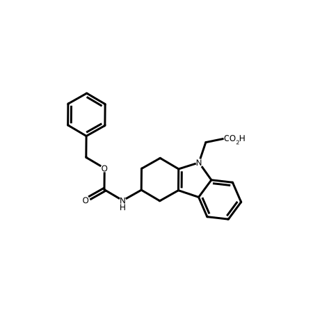 O=C(O)Cn1c2c(c3ccccc31)CC(NC(=O)OCc1ccccc1)CC2